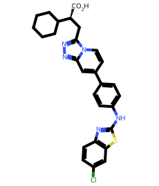 O=C(O)[C@@H](Cc1nnc2cc(-c3ccc(Nc4nc5ccc(Cl)cc5s4)cc3)ccn12)C1CCCCC1